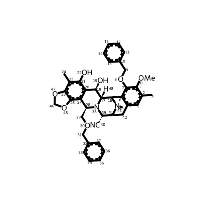 COc1c(C)cc2c(c1OCc1ccccc1)C1[C@H]3[C@H](O)c4c(O)c(C)c5c(c4[C@H](COCc4ccccc4)N3[C@@H](C#N)C(C2)N1C)OCO5